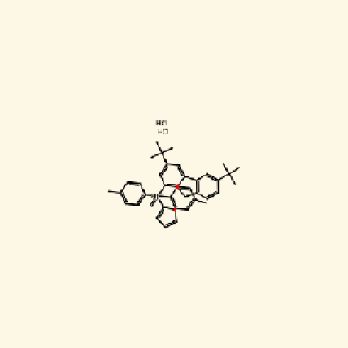 Cl.Cl.[CH2]=[Hf]([C]1=CC=CC1)([c]1ccc(C)cc1)([c]1ccc(C)cc1)[c]1cc(C(C)(C)C)cc2c1Cc1ccc(C(C)(C)C)cc1-2